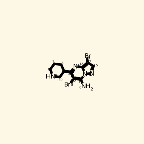 Nc1c(Br)c(C2CCCNC2)nc2c(Br)cnn12